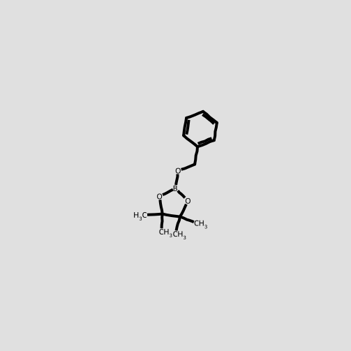 CC1(C)OB(OCc2ccccc2)OC1(C)C